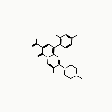 CN1CCN(c2nc3c(-c4ccc(F)cc4F)cc(C(=O)O)c(=O)n3cc2F)CC1